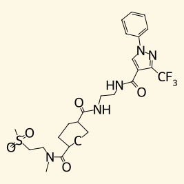 CN(CCS(C)(=O)=O)C(=O)C1CCC(C(=O)NCCNC(=O)c2cn(-c3ccccc3)nc2C(F)(F)F)CC1